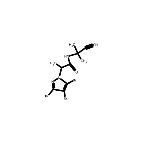 C#CC(C)(C)NC(=O)C(C)n1nc(Br)c(Br)c1Br